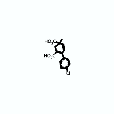 CC1(C(=O)O)C=CC(c2ccc(Cl)cc2)=C(C(=O)O)C1